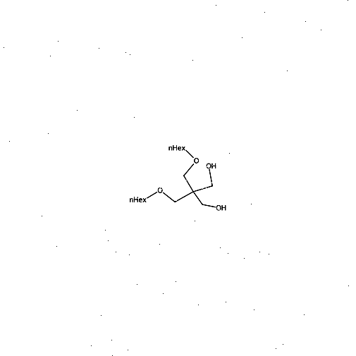 CCCCCCOCC(CO)(CO)COCCCCCC